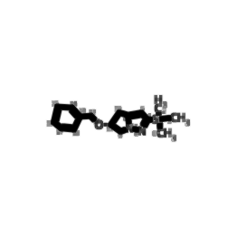 C[Si](C)(C)c1cc2n(n1)C[C@H](OCc1ccccc1)C2